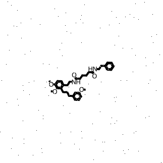 COc1cccc(CCCc2c(CCNC(=O)CCCCC(=O)NCCc3ccccc3)ccc(OC)c2OC)c1